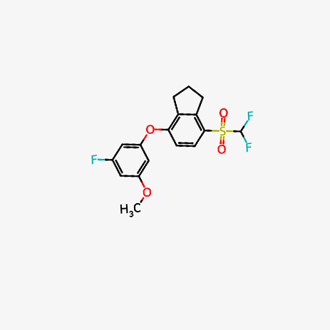 COc1cc(F)cc(Oc2ccc(S(=O)(=O)C(F)F)c3c2CCC3)c1